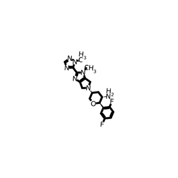 Cn1ncnc1-c1nc2c(n1C)CN([C@H]1CO[C@H](c3cc(F)ccc3F)[C@@H](N)C1)C2